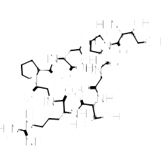 CC[C@H](C)[C@H](N)C(=O)N1CCC[C@H]1C(=O)NCC(=O)N[C@H](C(=O)N[C@@H](CCCNC(=N)N)C(=O)NCC(=O)N1CCC[C@H]1C(=O)N[C@@H](CC(C)C)C(=O)O)[C@@H](C)O